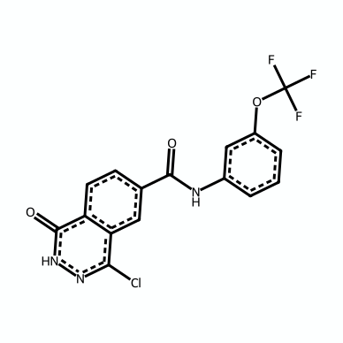 O=C(Nc1cccc(OC(F)(F)F)c1)c1ccc2c(=O)[nH]nc(Cl)c2c1